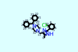 Cc1[nH]c(-c2ccccc2Cl)nc1CN1CCN(C(c2ccccc2)c2ccccc2)CC1